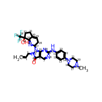 C=CCn1c(=O)c2cnc(Nc3ccc(N4CCN(C)CC4)cc3)nc2n1C1CC=C2CCC(O)(C(F)(F)F)C2=N1